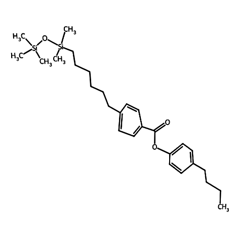 CCCCc1ccc(OC(=O)c2ccc(CCCCCC[Si](C)(C)O[Si](C)(C)C)cc2)cc1